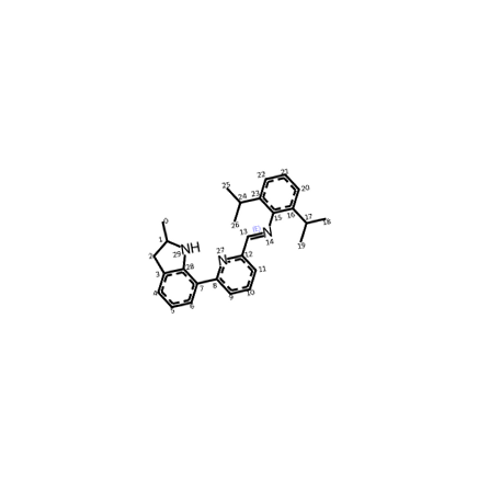 CC1Cc2cccc(-c3cccc(/C=N/c4c(C(C)C)cccc4C(C)C)n3)c2N1